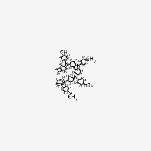 C=Cc1ccc(C23CC4CC(C2)CC(c2ccc(N(c5ccc(CCCC)cc5)c5ccc6c(c5)c5cc(N(c7ccc(C)cc7)c7ccc8c(c7)CC8)ccc5n6-c5ccc(C)cc5)cc2)(C4)C3)cc1